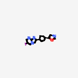 Ic1cnc2nc(-c3ccc(-c4cnco4)cc3)cn2c1